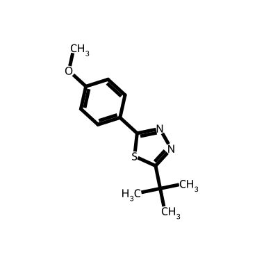 COc1ccc(-c2nnc(C(C)(C)C)s2)cc1